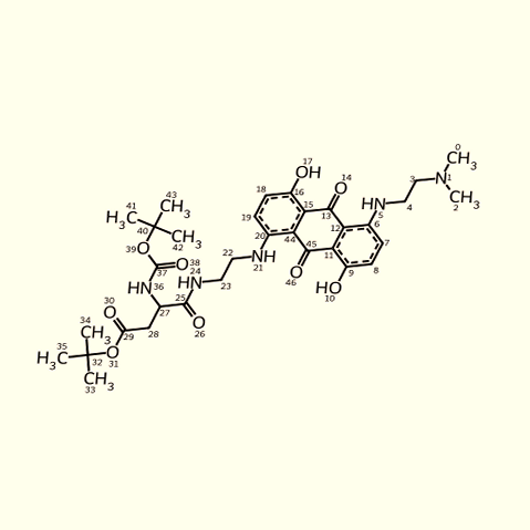 CN(C)CCNc1ccc(O)c2c1C(=O)c1c(O)ccc(NCCNC(=O)C(CC(=O)OC(C)(C)C)NC(=O)OC(C)(C)C)c1C2=O